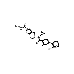 CC(C)(C)OC(=O)n1cc2c(n1)CCC(N(C(=O)c1ccc(-c3ccccc3C#N)cc1F)C1CC1)C2